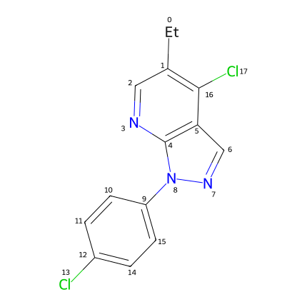 CCc1cnc2c(cnn2-c2ccc(Cl)cc2)c1Cl